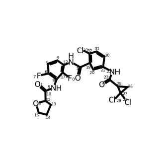 O=C(Nc1ccc(F)c(NC(=O)C2CCCO2)c1F)c1cc(NC(=O)C2CC2(Cl)Cl)ccc1Cl